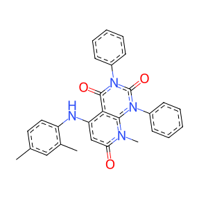 Cc1ccc(Nc2cc(=O)n(C)c3c2c(=O)n(-c2ccccc2)c(=O)n3-c2ccccc2)c(C)c1